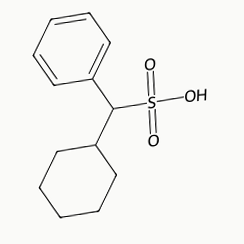 O=S(=O)(O)C(c1ccccc1)C1CCCCC1